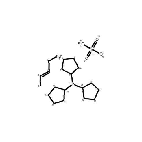 C/C=C/[CH2][Pd+].C1CCC(P(C2CCCC2)C2CCCC2)C1.O=S(=O)([O-])C(F)(F)F